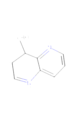 O=CC1CC=Nc2cccnc21